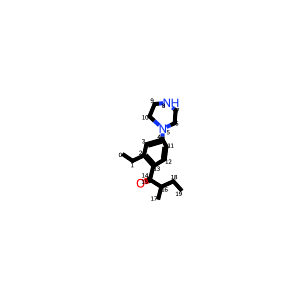 CCc1cc(N2CCNCC2)ccc1C(=O)C(C)CC